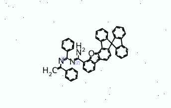 C=C(/N=C(\N=C(/N)c1cccc2c1oc1c3c(ccc12)C1(c2ccccc2-c2ccccc21)c1ccccc1-3)c1ccccc1)c1ccccc1